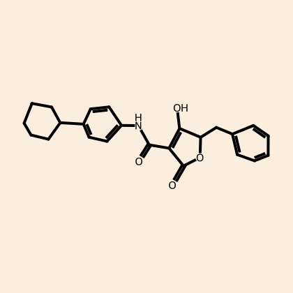 O=C(Nc1ccc(C2CCCCC2)cc1)C1=C(O)C(Cc2ccccc2)OC1=O